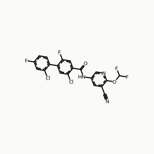 N#Cc1cc(NC(=O)c2cc(F)c(-c3ccc(F)cc3Cl)cc2Cl)cnc1OC(F)F